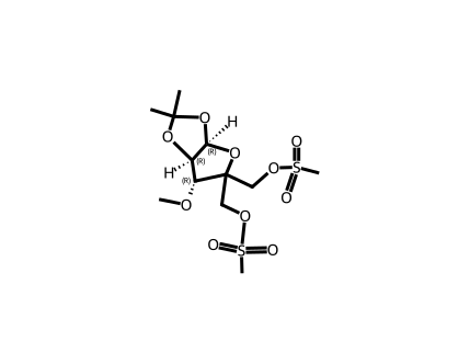 CO[C@@H]1[C@H]2OC(C)(C)O[C@H]2OC1(COS(C)(=O)=O)COS(C)(=O)=O